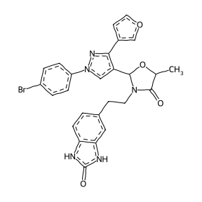 CC1OC(c2cn(-c3ccc(Br)cc3)nc2-c2ccoc2)N(CCc2ccc3[nH]c(=O)[nH]c3c2)C1=O